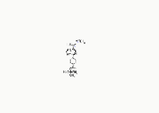 C/C=C\C=C(/C)c1cnc(N2CCN(C(=O)OC(C)(C)C)CC2)c2nccn12